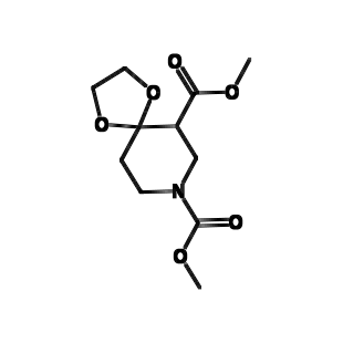 COC(=O)C1CN(C(=O)OC)CCC12OCCO2